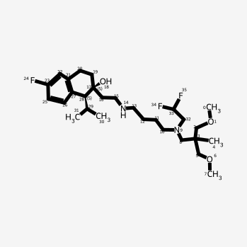 COCC(C)(COC)CN(CCCCNCC[C@@]1(O)CCc2cc(F)ccc2[C@@H]1C(C)C)CC(F)F